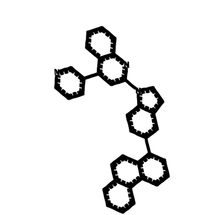 c1cncc(-c2cc(-n3ccc4cc(-c5cccc6c5ccc5ccccc56)ccc43)nc3ccccc23)c1